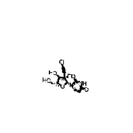 O=c1cnn([C@@H]2O[C@H](CO)C(O)[C@]2(F)C#CCl)c(=O)[nH]1